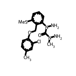 CSc1cccc(N(N)C(=O)N(C)N)c1COc1ccc(C)cc1Cl